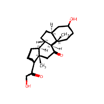 C[C@]12CCC(O)C[C@@H]1CC[C@@H]1[C@@H]2C(=O)C[C@]2(C)[C](C(=O)CO)CC[C@@H]12